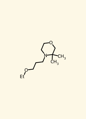 CCOCCCN1CCOCC1(C)C